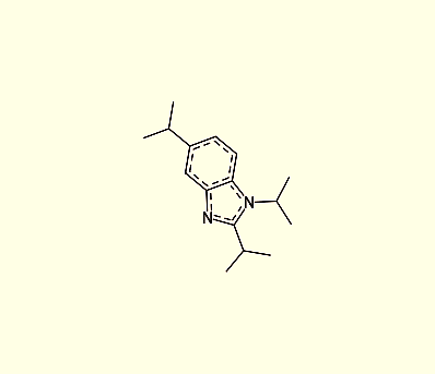 CC(C)c1ccc2c(c1)nc(C(C)C)n2C(C)C